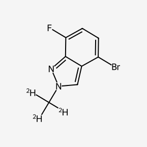 [2H]C([2H])([2H])n1cc2c(Br)ccc(F)c2n1